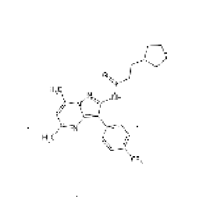 Cc1cc(C)n2nc(NC(=O)CCC3CCCC3)c(-c3ccc(C(F)(F)F)cc3)c2n1